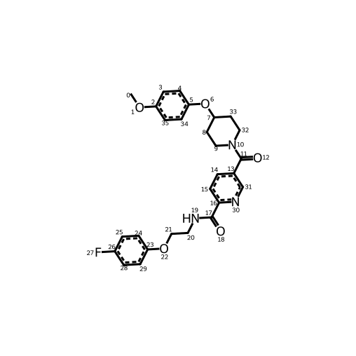 COc1ccc(OC2CCN(C(=O)c3ccc(C(=O)NCCOc4ccc(F)cc4)nc3)CC2)cc1